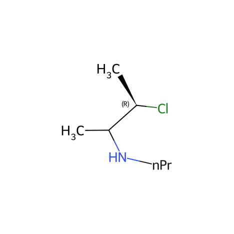 CCCNC(C)[C@@H](C)Cl